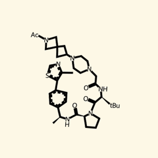 CC(=O)N1CC2(CC(N3CCN(CC(=O)N[C@H](C(=O)N4CCC[C@H]4C(=O)N[C@@H](C)c4ccc(-c5scnc5C)cc4)C(C)(C)C)CC3)C2)C1